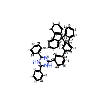 C1=CC2=C(CC1)c1ccccc1C21c2ccccc2-c2ccc(C3=CC(C4=NC(c5ccccc5)NC(c5ccccc5)N4)CC=C3)cc21